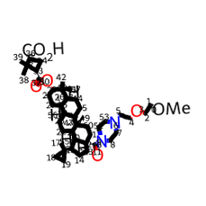 COCCOCCN1CCN(C(=O)[C@]23CC[C@@H](C4(C)CC4)[C@@H]2[C@H]2CC[C@@H]4[C@@]5(C)CC[C@H](OC(=O)[C@H]6C[C@@H](C(=O)O)C6(C)C)C(C)(C)[C@@H]5CC[C@@]4(C)[C@]2(C)CC3)CC1